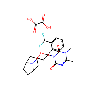 Cc1nc(=O)n(CCCN2C3CCC2CC(OCc2ccccc2C(F)F)C3)c(=O)n1C.O=C(O)C(=O)O